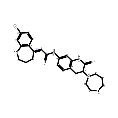 O=C(/C=C1\CCCOc2cc(C(F)(F)F)ccc21)Nc1ccc2c(c1)NC(=O)C(N1CCCOCC1)C2